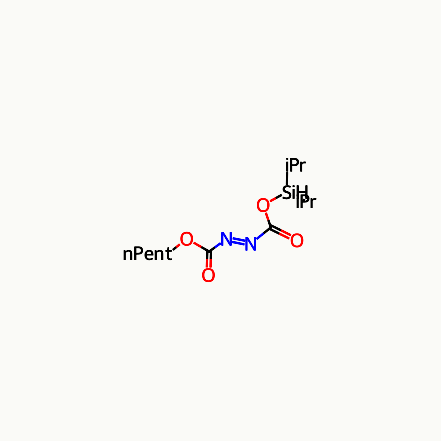 CCCCCOC(=O)N=NC(=O)O[SiH](C(C)C)C(C)C